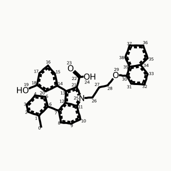 Cc1ccccc1-c1cccc2c1c(-c1cccc(O)c1)c(C(=O)O)n2CCCOc1cccc2ccccc12